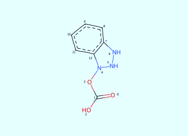 O=C(O)ON1NNc2ccccc21